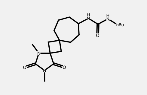 CCCCNC(=O)NC1CCCC2(CC1)CC1(C2)C(=O)N(C)C(=O)N1C